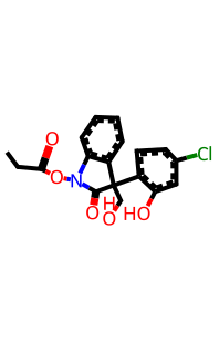 CCC(=O)ON1C(=O)C(CO)(c2ccc(Cl)cc2O)c2ccccc21